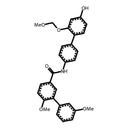 COCOc1cc(O)ccc1-c1ccc(NC(=O)c2ccc(OC)c(-c3cccc(OC)c3)c2)cc1